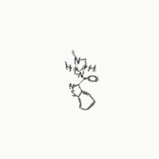 CN1C[C@@H]2C[C@H]1CN2C(=O)c1nsc2ccccc12